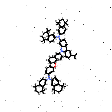 CC(C)c1cc2c3ccc(N(c4ccc5c(c4)C(C)(C)CCC5(C)C)c4ccc5c(c4)C(C)(C)CCC5(C)C)cc3n3c4cc5ccc6c7ccc(N(c8ccc9c(c8)C(C)(C)CCC9(C)C)c8ccc9c(c8)C(C)(C)CCC9(C)C)cc7oc6c5cc4c(c1)c23